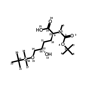 CN(C(=O)OC(C)(C)C)[C@@H](CC[C@H](O)CO[Si](C)(C)C(C)(C)C)C(=O)O